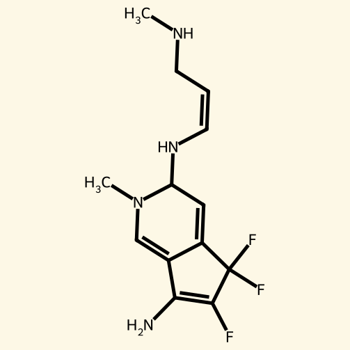 CNC/C=C\NC1C=C2C(=CN1C)C(N)=C(F)C2(F)F